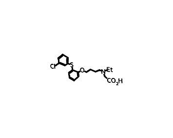 CCN(CCCCOc1ccccc1Sc1cccc(Cl)c1)CC(=O)O